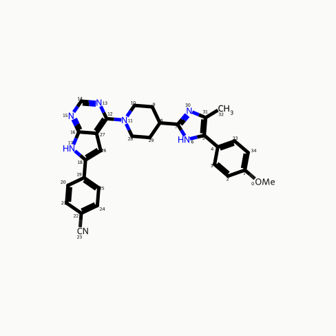 COc1ccc(-c2[nH]c(C3CCN(c4ncnc5[nH]c(-c6ccc(C#N)cc6)cc45)CC3)nc2C)cc1